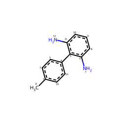 Cc1ccc(-c2c(N)cccc2N)cc1